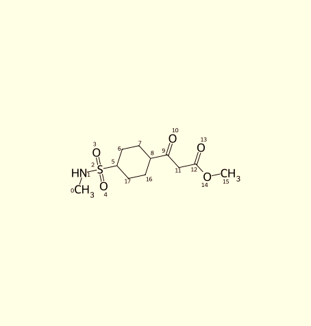 CNS(=O)(=O)C1CCC(C(=O)CC(=O)OC)CC1